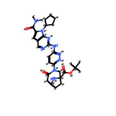 CN(C)C(=O)c1cc2cnc(Nc3ccc(N4CC5(C(=O)OC(C)(C)C)CCC(CC4=O)N5)nn3)nc2n1C1CCCC1